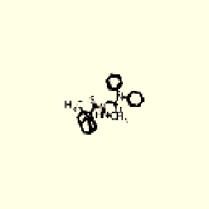 CNN(CC(=O)N(c1ccccc1)C1CCCCC1)C(=S)C1C2CC3CC(C2)CC1(C)C3